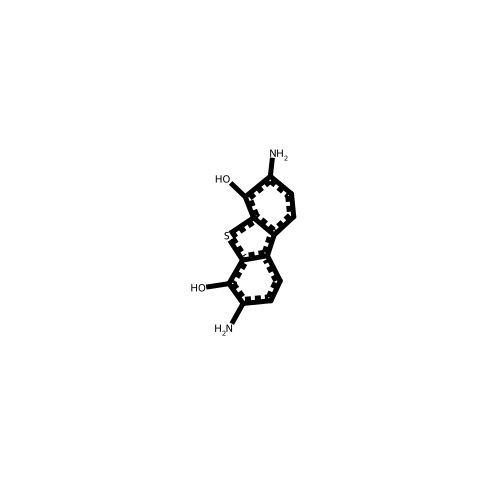 Nc1ccc2c(sc3c(O)c(N)ccc32)c1O